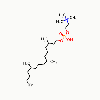 CC(=CCOP(=O)(O)OCC[N+](C)(C)C)CCC[C@H](C)CCC[C@H](C)CCCC(C)C